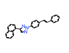 C(=Cc1ccc(-n2ncc(-c3cccc4ccccc34)n2)cc1)c1ccccc1